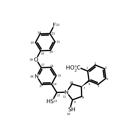 O=C(O)c1ccccc1[C@H]1CC(S)N(C(S)c2ccc(Oc3ccc(F)cc3)nc2)C1